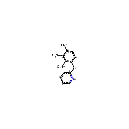 O=[N+]([O-])c1ccc(Cc2ccccn2)c([N+](=O)[O-])c1[N+](=O)[O-]